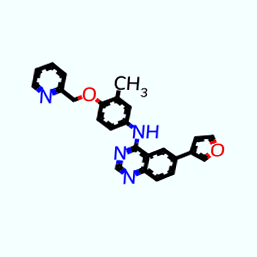 Cc1cc(Nc2ncnc3ccc(-c4ccoc4)cc23)ccc1OCc1ccccn1